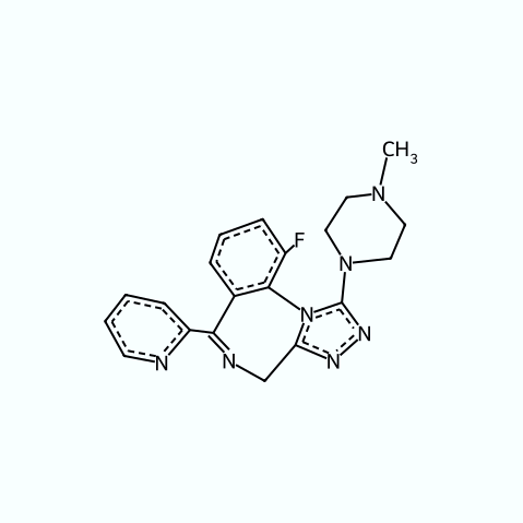 CN1CCN(c2nnc3n2-c2c(F)cccc2C(c2ccccn2)=NC3)CC1